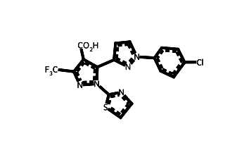 O=C(O)c1c(C(F)(F)F)nn(-c2nccs2)c1-c1ccn(-c2ccc(Cl)cc2)n1